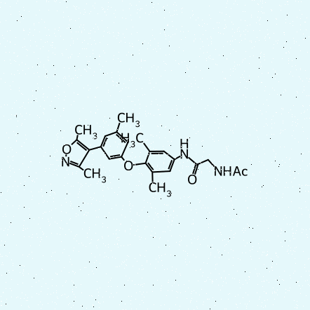 CC(=O)NCC(=O)Nc1cc(C)c(Oc2cc(C)cc(-c3c(C)noc3C)c2)c(C)c1